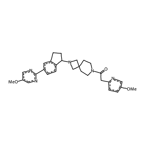 COc1ccc(CC(=O)N2CCC3(CC2)CN(C2CCc4cc(-c5ncc(OC)cn5)ccc42)C3)nc1